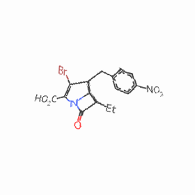 CCC1C(=O)N2C(C(=O)O)=C(Br)C(Cc3ccc([N+](=O)[O-])cc3)C12